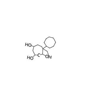 CCC1(C2CCCCCCC2)CCC(O)CC(O)CC1O